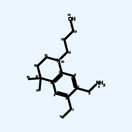 CCc1cc2c(cc1CN)N(CCCO)CCC2(C)C